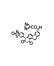 Cn1c(=O)sc2cc(C3C(=O)CC(=O)c4c3ccc3c4ccc4ccccc43)ccc21.O=C(O)c1cncnc1